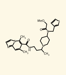 COCC(=O)N(Cc1ccsc1)C1CCN(C(C)CCNC(=O)c2c(C)cc3nccn3c2C)CC1